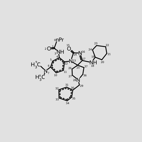 CCCC(=O)Nc1cc(N(C)C)ccc1N1C(=O)N=C(NC2CCCCC2)C12CCN(Cc1ccccc1)CC2